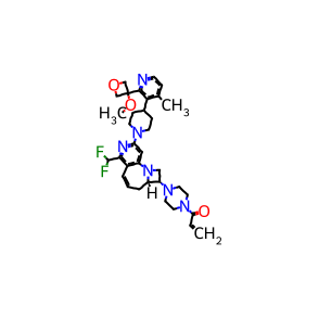 C=CC(=O)N1CCN([C@@H]2CN3c4cc(N5CCC(c6c(C)ccnc6C6(OC)COC6)CC5)nc(C(F)F)c4C=CC[C@@H]23)CC1